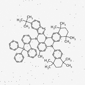 Cc1cc2c3c(c1)N(c1cccc4c1-c1ccccc1[Si]4(c1ccccc1)c1ccccc1)c1c(sc4ccc(C(C)(C)C)cc14)B3c1cc3c(cc1N2c1ccc2c(c1)C(C)(C)CCC2(C)C)C(C)(C)CCC3(C)C